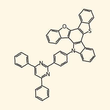 c1ccc(-c2cc(-c3ccccc3)nc(-c3ccc(-n4c5ccccc5c5c6sc7ccccc7c6c6oc7ccccc7c6c54)cc3)n2)cc1